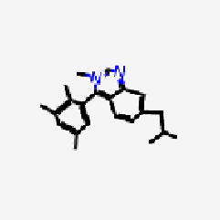 Cc1cc(C)c(C)c(-c2c3ccc(CC(C)C)cc3nc[n+]2C)c1